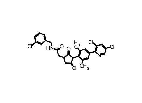 Cc1cc(-c2ncc(Cl)cc2Cl)cc(C)c1C1C(=O)CC(CC(=O)NCc2cccc(Cl)c2)C1=O